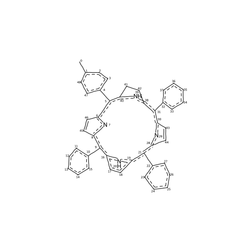 Cc1ccc(-c2c3nc(c(-c4ccccc4)c4ccc([nH]4)c(-c4ccccc4)c4nc(c(-c5ccccc5)c5[nH]c2CC5)C=C4)C=C3)cc1